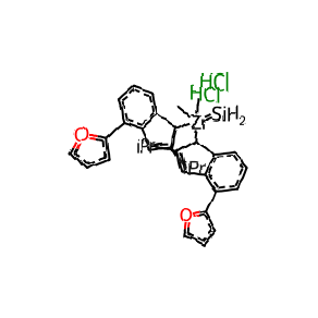 CC(C)C1=Cc2c(-c3ccco3)cccc2[CH]1[Zr]([CH3])([CH3])(=[SiH2])[CH]1C(C(C)C)=Cc2c(-c3ccco3)cccc21.Cl.Cl